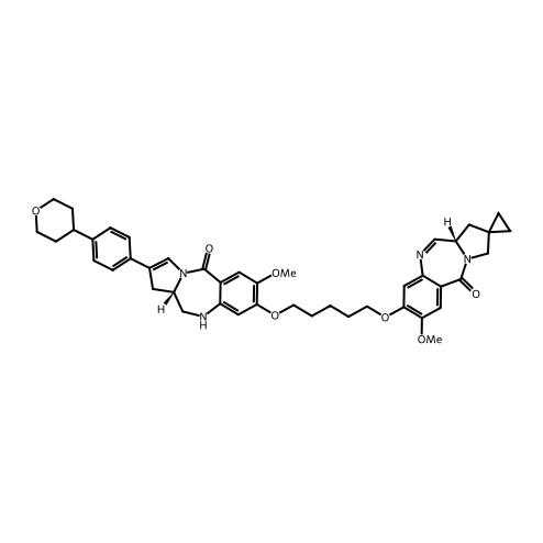 COc1cc2c(cc1OCCCCCOc1cc3c(cc1OC)C(=O)N1C=C(c4ccc(C5CCOCC5)cc4)C[C@H]1CN3)N=C[C@@H]1CC3(CC3)CN1C2=O